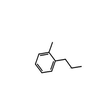 C[CH]Cc1ccccc1C